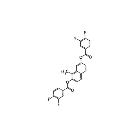 Cc1c(OC(=O)c2ccc(F)c(F)c2)ccc2ccc(OC(=O)c3ccc(F)c(F)c3)cc12